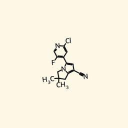 CC1(C)Cc2c(C#N)cc(-c3cc(Cl)ncc3F)n2C1